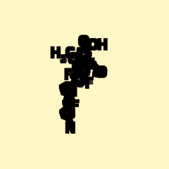 COc1cc(C(=O)O)cc2c1c(=O)n(Cc1cc(F)c(-c3cccc(OCc4ccc(C#N)cc4F)n3)cc1F)n2C[C@@H]1CCO1